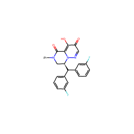 CC(C)N1C[C@H](C(c2cccc(F)c2)c2cccc(F)c2)n2ncc(=O)c(O)c2C1=O